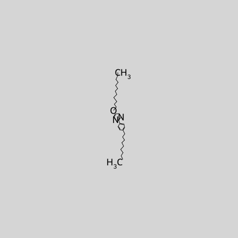 CCCCCCCCCCCCOc1cnc(-c2ccc(CCCCCCCCCC)cc2)nc1